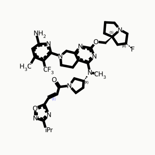 Cc1cc(N)nc(N2CCc3c(nc(OC[C@@]45CCCN4C[C@H](F)C5)nc3N(C)[C@@H]3CCN(C(=O)/C=C/c4nc(C(C)C)no4)C3)C2)c1C(F)(F)F